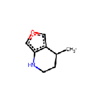 [CH2]C1CCNc2cocc21